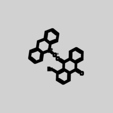 O=C1c2ccccc2C(=O)c2c(Br)cccc21.[O-][S+]1c2ccccc2Cc2ccccc21